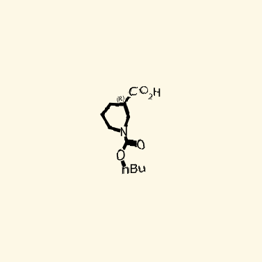 CCCCOC(=O)N1CCC[C@@H](C(=O)O)C1